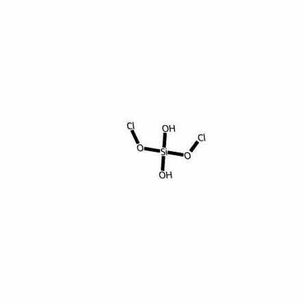 O[Si](O)(OCl)OCl